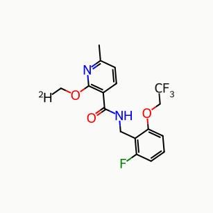 [2H]COc1nc(C)ccc1C(=O)NCc1c(F)cccc1OCC(F)(F)F